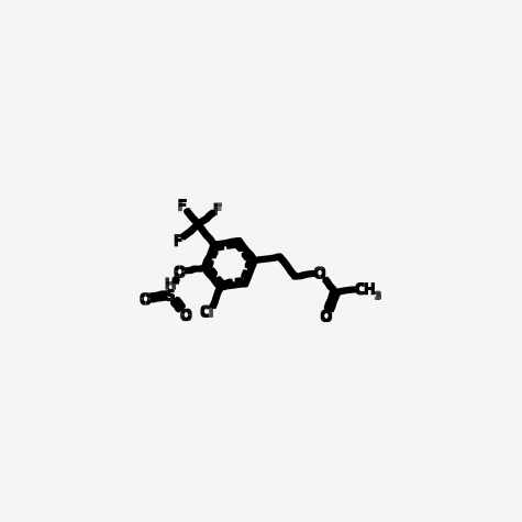 CC(=O)OCCc1cc(Cl)c(O[SH](=O)=O)c(C(F)(F)F)c1